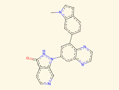 Cn1ccc2ccc(-c3cc(-n4[nH]c(=O)c5ccncc54)cc4nccnc34)cc21